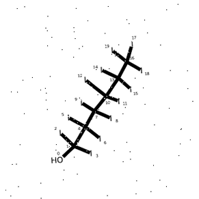 OC(I)(I)C(I)(I)C(I)(I)C(I)(I)C(I)(I)C(I)(I)I